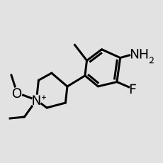 CC[N+]1(OC)CCC(c2cc(F)c(N)cc2C)CC1